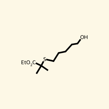 CCOC(=O)C(C)(C)SCCCCCO